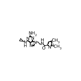 Cc1cc(C(=O)NCCn2cnc3c(NC4CC4)nc(N)nc32)nn1C